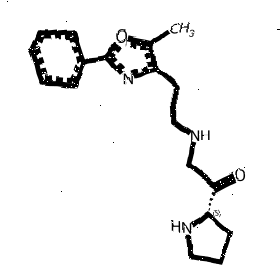 Cc1oc(-c2ccccc2)nc1CCNCC(=O)[C@@H]1CCCN1